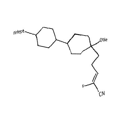 CCCCCCCC1CCC(C2CCC(CCC=C(F)C#N)(OC)CC2)CC1